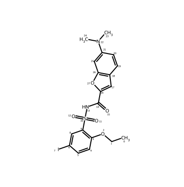 CCOc1ccc(I)cc1S(=O)(=O)NC(=O)c1cc2ccc(N(C)C)cc2o1